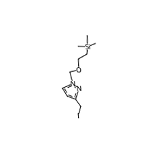 C[Si](C)(C)CCOCn1ccc(CI)n1